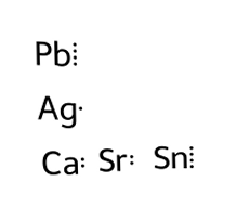 [Ag].[Ca].[Pb].[Sn].[Sr]